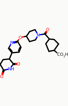 O=C1CCC(c2ccc(OC3CCN(C(=O)C4CCC(C(=O)O)CC4)CC3)nc2)C(=O)N1